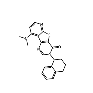 CN(C)c1ccnc2sc3c(=O)n(C4CCCc5ccccc54)cnc3c12